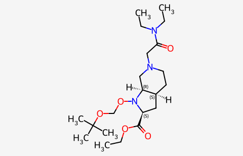 CCOC(=O)[C@@H]1C[C@@H]2CCN(CC(=O)N(CC)CC)C[C@@H]2N1OCOC(C)(C)C